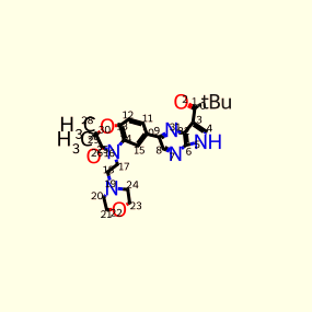 CC(C)(C)C(=O)c1c[nH]c2ncc(-c3ccc4c(c3)N(CCN3CCOCC3)C(=O)C(C)(C)O4)nc12